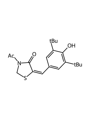 CC(=O)N1CSC(=Cc2cc(C(C)(C)C)c(O)c(C(C)(C)C)c2)C1=O